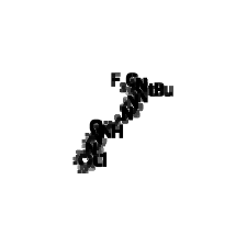 CC(C)(C)c1nc(N2CCN(CCCCNC(=O)N3CCN(c4ccccc4Cl)CC3)CC2)cc(C(F)(F)F)n1